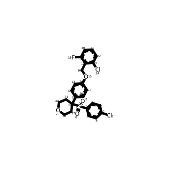 O=S(=O)(c1ccc(Cl)cc1)C1(c2ccc(OCc3c(F)cccc3Cl)cc2)CCOCC1